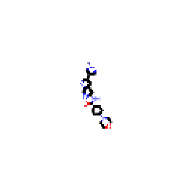 Cn1cc(-c2cnc3cnc(NC(=O)[C@H]4CC[C@H](N5CCOCC5)CC4)cc3c2)cn1